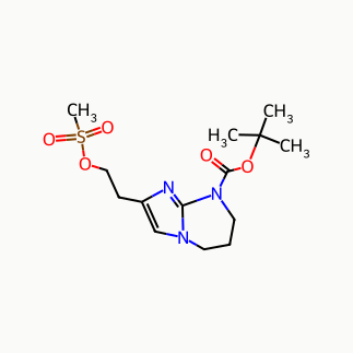 CC(C)(C)OC(=O)N1CCCn2cc(CCOS(C)(=O)=O)nc21